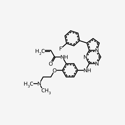 C=CC(=O)Nc1cc(Nc2ncn3ccc(-c4cccc(F)c4)c3n2)ccc1OCCN(C)C